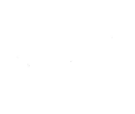 COc1cccc(/C=C/c2ccc(N(C)C)cc2)c1